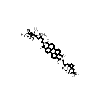 CCC(C)(CC(C)(C)C(C)(CC)CC(C)CCN1C(=O)c2ccc3c4ccc5c6c(ccc(c7ccc(c2c37)C1=O)c64)C(=O)N(CCC(C)CC1(C)CCC1(C)CC(C)(CC)C(C)(C)C)C5=O)C(C)(C)C